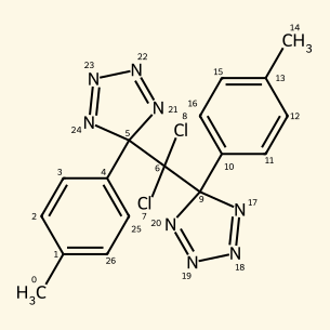 Cc1ccc(C2(C(Cl)(Cl)C3(c4ccc(C)cc4)N=NN=N3)N=NN=N2)cc1